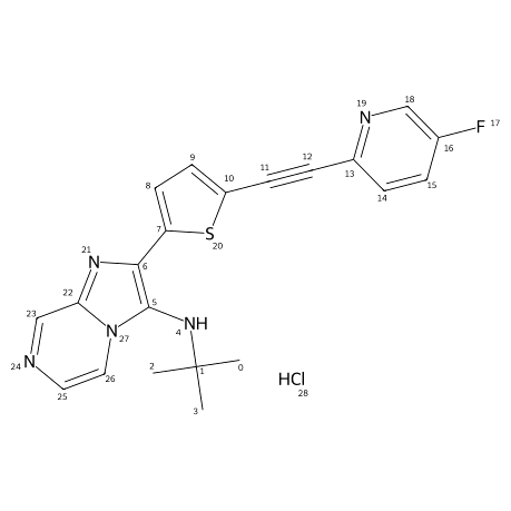 CC(C)(C)Nc1c(-c2ccc(C#Cc3ccc(F)cn3)s2)nc2cnccn12.Cl